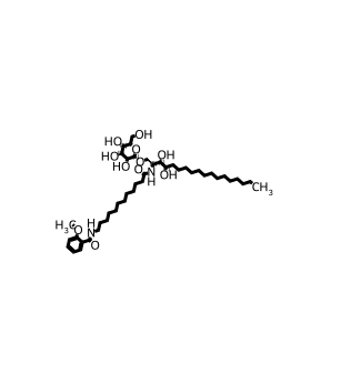 CCCCCCCCCCCCCC[C@@H](O)[C@@H](O)[C@H](CO[C@H]1OC(CO)[C@H](O)[C@H](O)C1O)NC(=O)CCCCCCCCCCCNC(=O)c1ccccc1OC